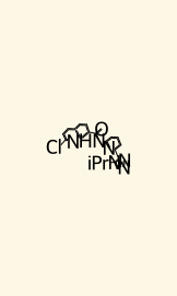 CC(C)n1cnnc1-c1cccc(NC(=O)c2ccc3ccc(Cl)nc3c2)n1